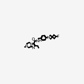 CCc1nc2n(c1C(=O)NCc1ccc(N3CC4(CC(F)C4)C3)cc1)CCN(C)C2